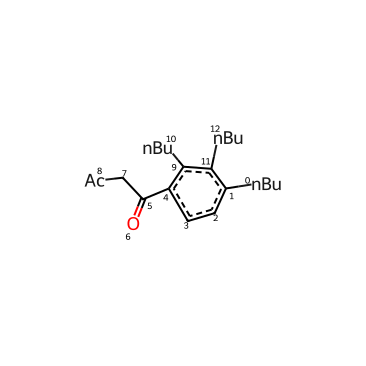 CCCCc1ccc(C(=O)CC(C)=O)c(CCCC)c1CCCC